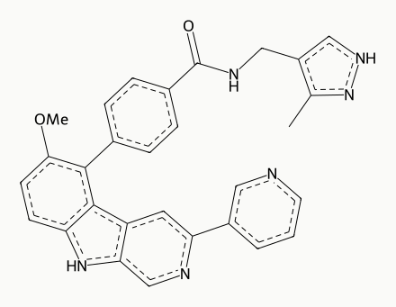 COc1ccc2[nH]c3cnc(-c4cccnc4)cc3c2c1-c1ccc(C(=O)NCc2c[nH]nc2C)cc1